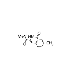 CNC(=O)c1cc2ccc(C)cc2c(=O)[nH]1